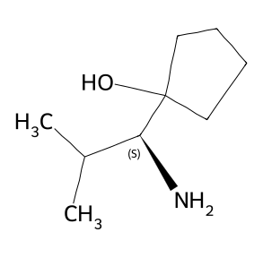 CC(C)[C@H](N)C1(O)CCCC1